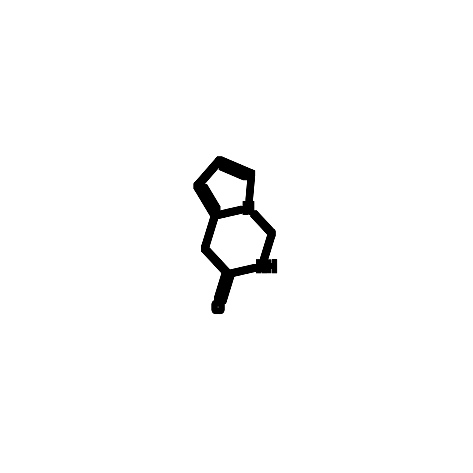 O=C1Cc2cccn2CN1